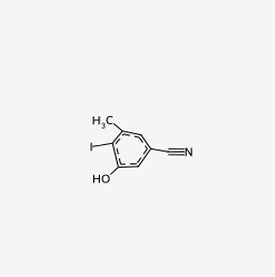 Cc1cc(C#N)cc(O)c1I